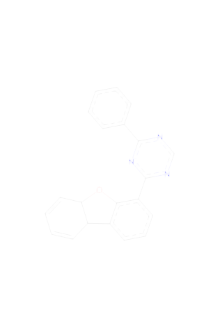 C1=CC2Oc3c(-c4ncnc(-c5ccccc5)n4)cccc3C2C=C1